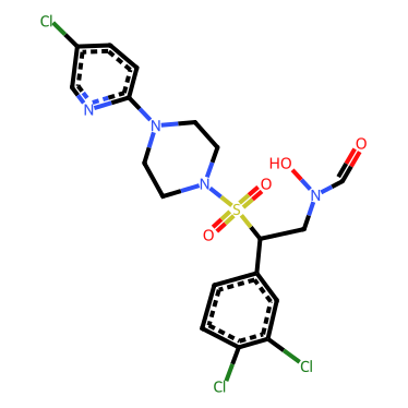 O=CN(O)CC(c1ccc(Cl)c(Cl)c1)S(=O)(=O)N1CCN(c2ccc(Cl)cn2)CC1